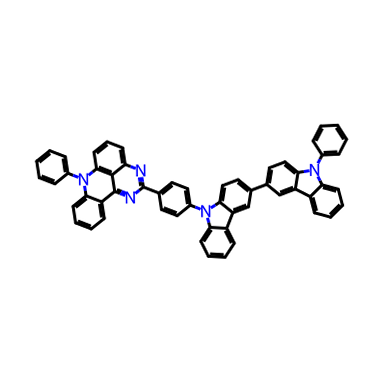 c1ccc(N2c3ccccc3-c3nc(-c4ccc(-n5c6ccccc6c6cc(-c7ccc8c(c7)c7ccccc7n8-c7ccccc7)ccc65)cc4)nc4cccc2c34)cc1